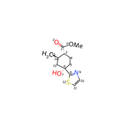 COC(=O)[C@@H]1CC[C@@](O)(c2nccs2)C[C@H]1C